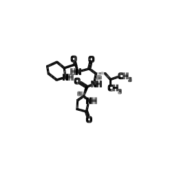 CC(C)C[C@H](NC(=O)[C@@H]1CCC(=O)N1)C(=O)NC(=O)C1CCCCN1